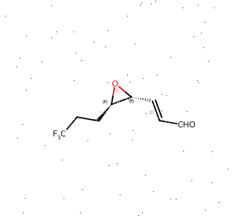 O=C/C=C/[C@H]1O[C@@H]1CCC(F)(F)F